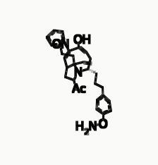 C=CC1(CCc2ccccc2)C2/C=C(N=O)\C(O)=C/C[C@H](CCCc3ccc(ON)cc3)N1C(C(C)=O)C2